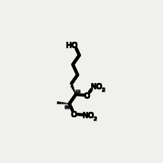 C[C@@H](O[N+](=O)[O-])[C@H](CCCCO)O[N+](=O)[O-]